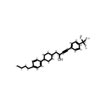 CCCCc1ccc(C2CCC(CC(O)C#Cc3ccc(C(F)(F)F)cc3)CC2)cc1